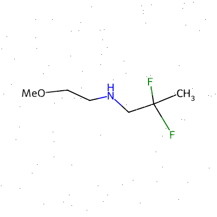 COCCNCC(C)(F)F